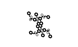 O=C(OCc1ccccc1)c1ccc2c(c1)N(c1ccccc1)c1cc(C(=O)OCc3ccccc3)cc3c1B2c1cc2ccc4c5c(cc6ccc-3c1c6c25)B1c2ccc(C(=O)OCc3ccccc3)cc2N(c2ccccc2)c2cc(C(=O)OCc3ccccc3)cc-4c21